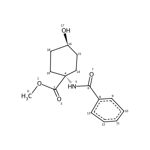 COC(=O)[C@]1(NC(=O)c2ccccc2)CC[C@H](O)CC1